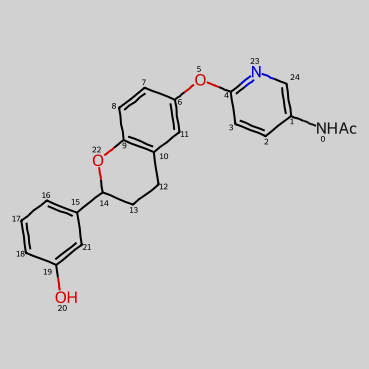 CC(=O)Nc1ccc(Oc2ccc3c(c2)CCC(c2cccc(O)c2)O3)nc1